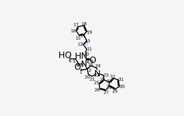 O=CC1(N(CCCO)C(=O)NC/C=C/c2ccccc2)CCN(Cc2cccc3ccccc23)CC1